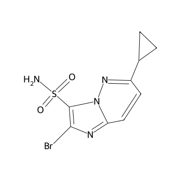 NS(=O)(=O)c1c(Br)nc2ccc(C3CC3)nn12